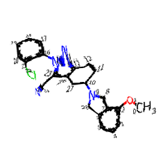 COc1cccc2c1CN(C1CCc3nn(-c4ccccc4Cl)c(C#N)c3C1)C2